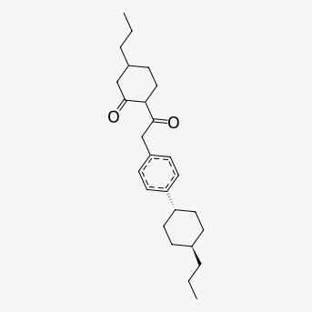 CCCC1CCC(C(=O)Cc2ccc([C@H]3CC[C@H](CCC)CC3)cc2)C(=O)C1